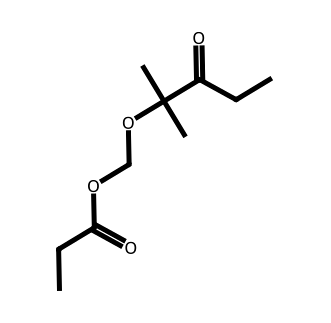 CCC(=O)OCOC(C)(C)C(=O)CC